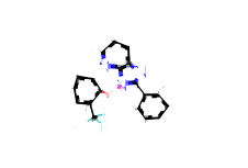 FC(F)(F)c1ccccc1On1c(-c2ccccc2)nc2cccnc21